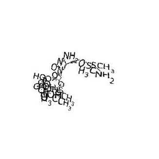 CC(C)(C)SSCOC1C[C@H](n2cc(C#CCOCSSC(C)(C)CN)c(N)nc2=O)O[C@@H]1COP(=O)(O)OP(=O)(O)OP(=O)(O)O